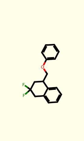 FC1(F)Cc2ccccc2C(COc2ccccc2)C1